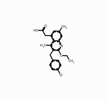 CCOc1nc2cc(C)cc(CC(=O)O)c2c(C)c1Cc1ccc(Cl)cc1